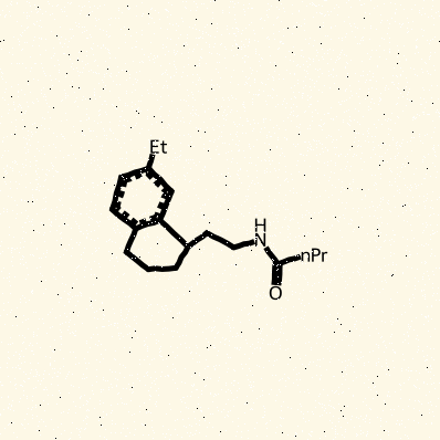 CCCC(=O)NCCC1CCCc2ccc(CC)cc21